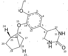 COc1ccc(C2CNC(=O)NC2)cc1OC1C[C@H]2CC[C@H]1C2